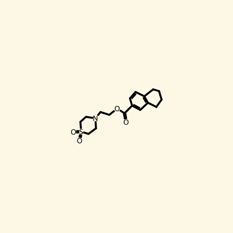 O=C(OCCN1CCS(=O)(=O)CC1)c1ccc2c(c1)CCCC2